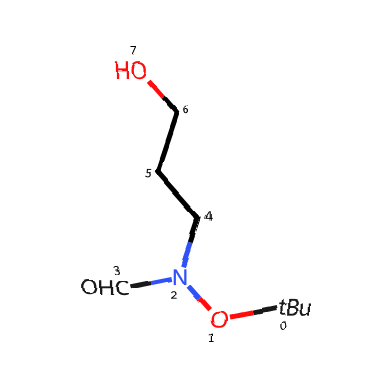 CC(C)(C)ON(C=O)CCCO